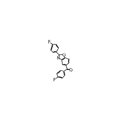 O=C(c1ccc(F)cc1)c1ccc2oc(-c3ccc(F)cc3)nc2c1